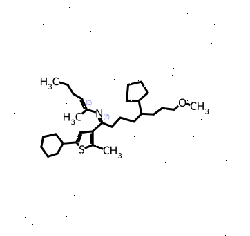 CCC/C=C(C)/N=C(/CCCC(CCCOC)C1CCCC1)c1cc(C2CCCCC2)sc1C